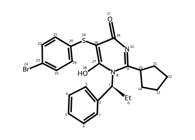 CC[C@@H](c1ccccc1)n1c(C2CCCC2)nc(=O)c(Sc2ccc(Br)cc2)c1O